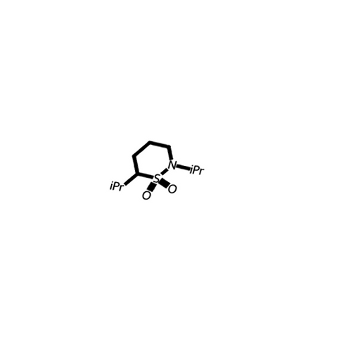 CC(C)C1CCCN(C(C)C)S1(=O)=O